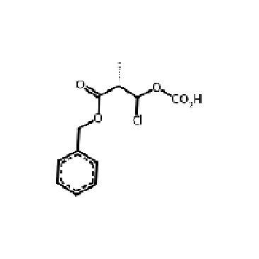 C[C@@H](C(=O)OCc1ccccc1)C(Cl)OC(=O)O